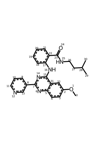 COc1ccc2nc(-c3cccnc3)nc(Nc3ccccc3C(=O)NCCC(C)C)c2c1